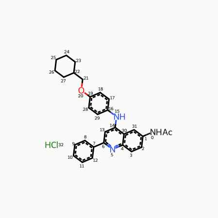 CC(=O)Nc1ccc2nc(-c3ccccc3)cc(Nc3ccc(OCC4CCCCC4)cc3)c2c1.Cl